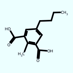 CCCCc1cc(C(=O)O)c(C)c(C(=O)O)c1